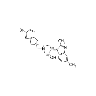 Cc1ccc2c(c1)nc(C)n2[C@@H]1CCN(C[C@H]2Cc3ccc(Br)cc3C2)C[C@H]1O